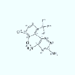 Nc1nnc(-c2c(C(F)(F)F)ccc(Cl)c2Cl)c(N)n1